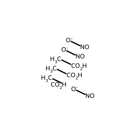 CC(=O)O.CC(=O)O.CC(=O)O.O=[NH+][O-].O=[NH+][O-].O=[NH+][O-]